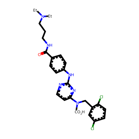 CCN(CC)CCCNC(=O)c1ccc(Nc2nccc(N(Cc3cc(Cl)ccc3Cl)C(=O)O)n2)cc1